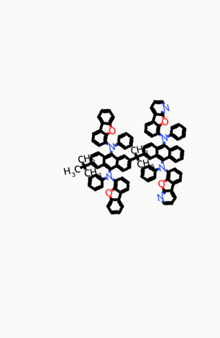 CC(C)(C)c1ccc2c(N(c3ccccc3)c3cccc4c3oc3ccccc34)c3cc(C(C)(C)c4ccc5c(N(c6ccccc6)c6cccc7c6oc6ncccc67)c6ccccc6c(N(c6ccccc6)c6cccc7c6oc6ncccc67)c5c4)ccc3c(N(c3ccccc3)c3cccc4c3oc3ccccc34)c2c1